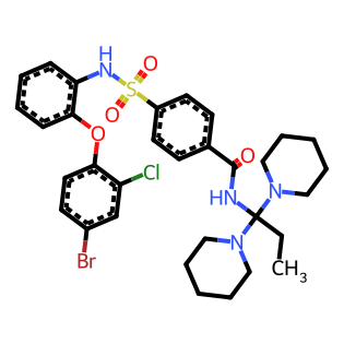 CCC(NC(=O)c1ccc(S(=O)(=O)Nc2ccccc2Oc2ccc(Br)cc2Cl)cc1)(N1CCCCC1)N1CCCCC1